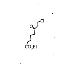 CCOC(=O)CCCCC(=O)CCCl